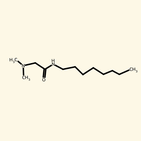 CCCCCCCCNC(=O)CN(C)C